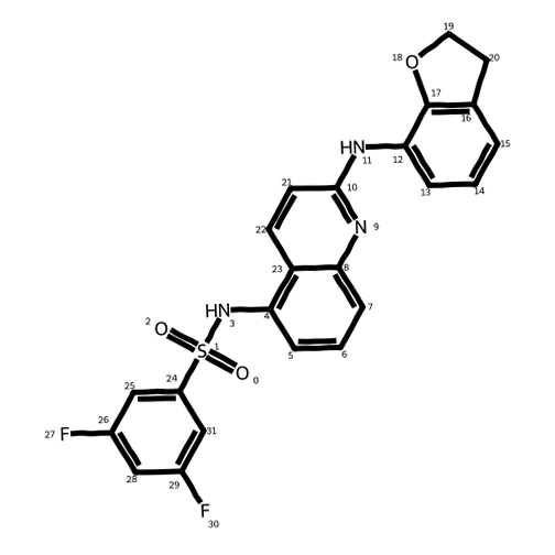 O=S(=O)(Nc1cccc2nc(Nc3cccc4c3OCC4)ccc12)c1cc(F)cc(F)c1